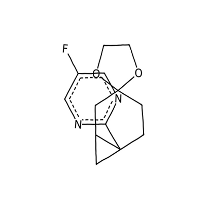 Fc1cnc(C23CCC4(CC2C3)OCCO4)nc1